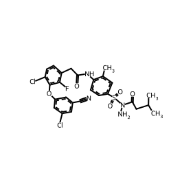 Cc1cc(S(=O)(=O)N(N)C(=O)CC(C)C)ccc1NC(=O)Cc1ccc(Cl)c(Oc2cc(Cl)cc(C#N)c2)c1F